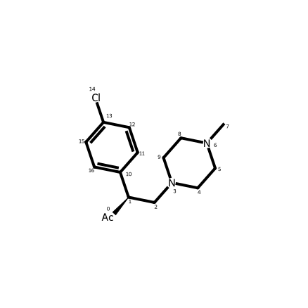 CC(=O)[C@H](CN1CCN(C)CC1)c1ccc(Cl)cc1